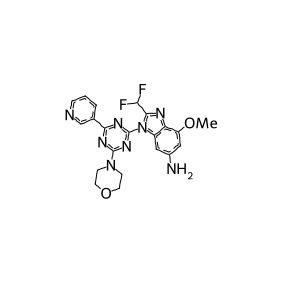 COc1cc(N)cc2c1nc(C(F)F)n2-c1nc(-c2cccnc2)nc(N2CCOCC2)n1